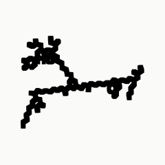 C=CC(=C)CC(CCCCC)CCCC(CCCCCCCC(=C)CCC(CCC(=C)CCCCCCCC(C)C(CCCCCCCC)CC(=C)C=C)CC(=C)CCCCCCCC(O)C(CC(=C)C=C)CC(C)C(CC(=C)C=C)CC(C)C(CC)CC(=C)C=C)CC(=O)C=C